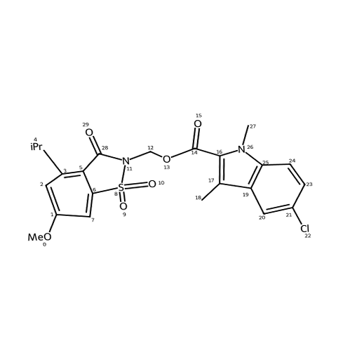 COc1cc(C(C)C)c2c(c1)S(=O)(=O)N(COC(=O)c1c(C)c3cc(Cl)ccc3n1C)C2=O